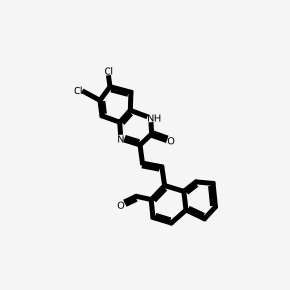 O=Cc1ccc2ccccc2c1C=Cc1nc2cc(Cl)c(Cl)cc2[nH]c1=O